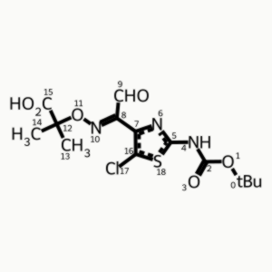 CC(C)(C)OC(=O)Nc1nc(/C(C=O)=N/OC(C)(C)C(=O)O)c(Cl)s1